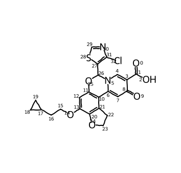 O=C(O)c1cn2c(cc1=O)-c1c(cc(OCCC3CC3)c3c1CCO3)OC2c1scnc1Cl